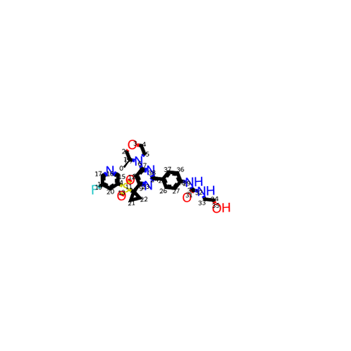 C[C@H]1COCCN1c1cc(C2(S(=O)(=O)c3cncc(F)c3)CC2)nc(-c2ccc(NC(=O)NCCO)cc2)n1